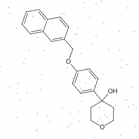 OC1(c2ccc(OCc3ccc4ccccc4c3)cc2)CCOCC1